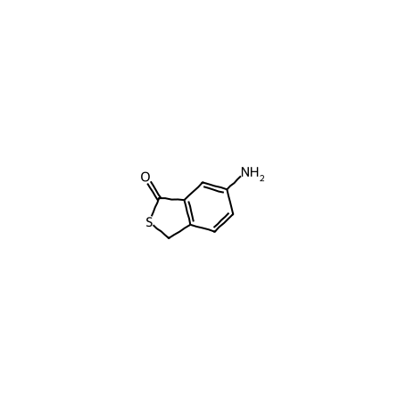 Nc1ccc2c(c1)C(=O)SC2